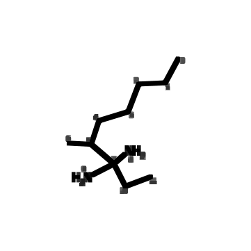 CCCCCC(C)C(N)(N)CC